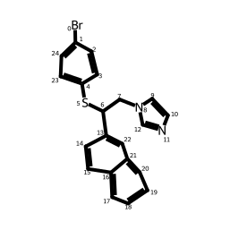 Brc1ccc(SC(Cn2ccnc2)c2ccc3ccccc3c2)cc1